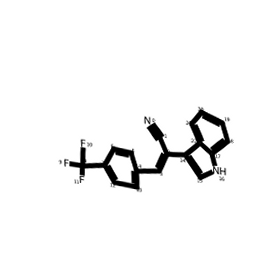 N#C/C(=C\c1ccc(C(F)(F)F)cc1)c1c[nH]c2ccccc12